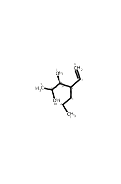 C=CC(CCC)[C@H](O)C(C)O